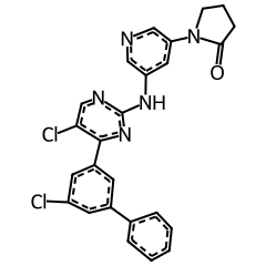 O=C1CCCN1c1cncc(Nc2ncc(Cl)c(-c3cc(Cl)cc(-c4ccccc4)c3)n2)c1